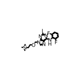 C[Si](C)(C)CCOCn1cnc2c(Nc3c(F)cccc3F)nc(I)nc21